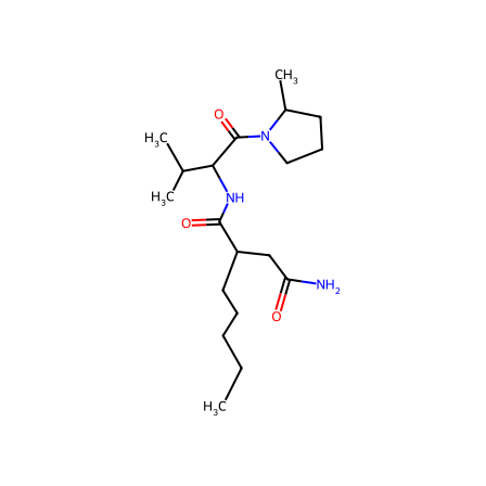 CCCCCC(CC(N)=O)C(=O)NC(C(=O)N1CCCC1C)C(C)C